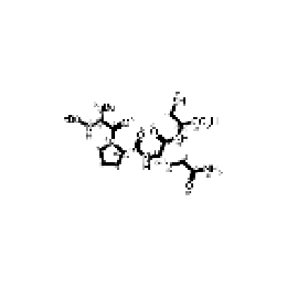 CC[C@H](C)[C@H](NC(C)(C)C)C(=O)N1CCC[C@H]1C(=O)N[C@@H](CCC(N)=O)C(=O)N[C@@H](CS)C(=O)O